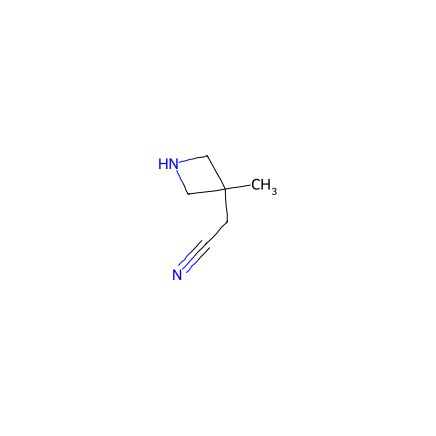 CC1(CC#N)CNC1